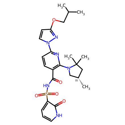 CC(C)COc1ccn(-c2ccc(C(=O)NS(=O)(=O)c3ccc[nH]c3=O)c(N3C[C@@H](C)CC3(C)C)n2)n1